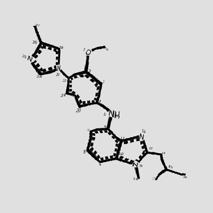 COc1cc(Nc2cccc3c2nc(CC(C)C)n3C)ccc1-n1cnc(C)c1